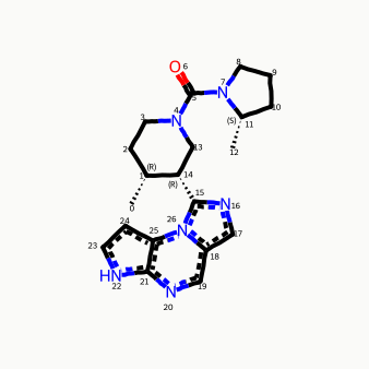 C[C@@H]1CCN(C(=O)N2CCC[C@@H]2C)C[C@@H]1c1ncc2cnc3[nH]ccc3n12